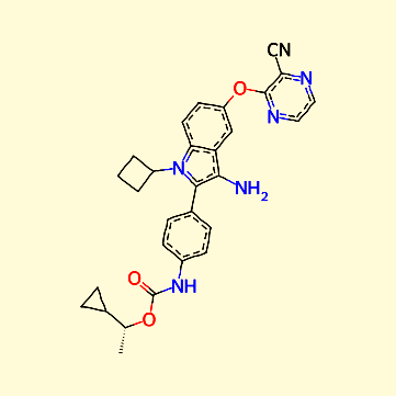 C[C@@H](OC(=O)Nc1ccc(-c2c(N)c3cc(Oc4nccnc4C#N)ccc3n2C2CCC2)cc1)C1CC1